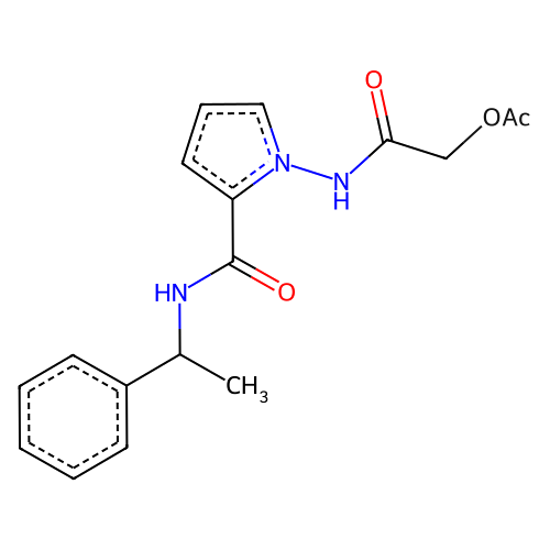 CC(=O)OCC(=O)Nn1cccc1C(=O)NC(C)c1ccccc1